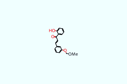 COCOc1cccc(C=CC(=O)c2ccccc2O)c1